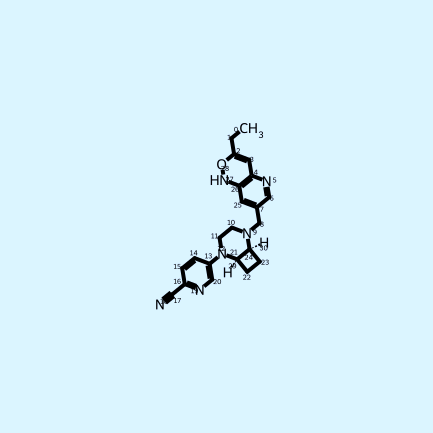 CCC1=Cc2ncc(CN3CCN(c4ccc(C#N)nc4)[C@@H]4CC[C@@H]43)cc2NO1